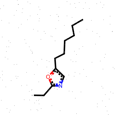 [CH2]Cc1ncc(CCCCCC)o1